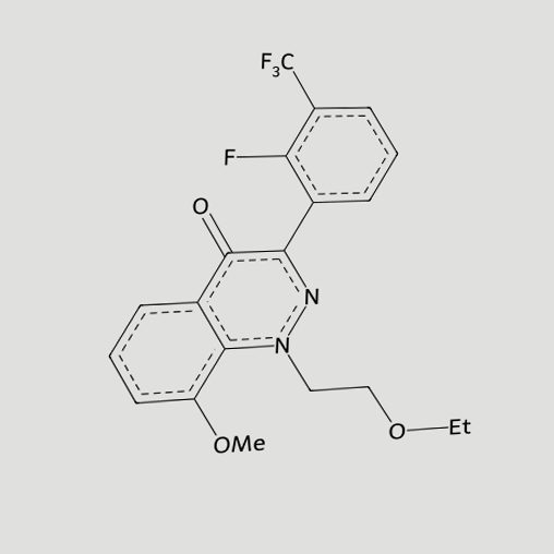 CCOCCn1nc(-c2cccc(C(F)(F)F)c2F)c(=O)c2cccc(OC)c21